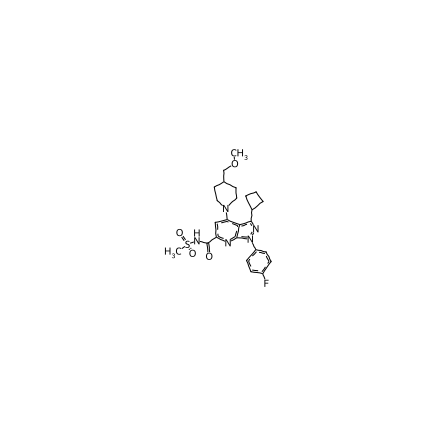 COCC1CCN(c2cc(C(=O)NS(C)(=O)=O)nc3c2c(C2CCC2)nn3-c2ccc(F)cc2)CC1